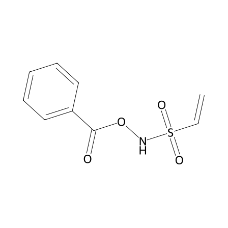 C=CS(=O)(=O)NOC(=O)c1ccccc1